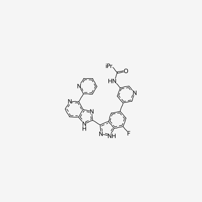 CC(C)C(=O)Nc1cncc(-c2cc(F)c3[nH]nc(-c4nc5c(-c6ccccn6)nccc5[nH]4)c3c2)c1